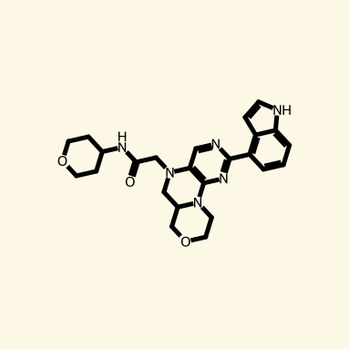 O=C(CN1CC2COCCN2c2nc(-c3cccc4[nH]ccc34)ncc21)NC1CCOCC1